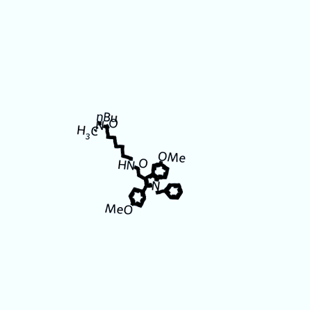 CCCCN(C)C(=O)CCCCCCNC(=O)Cc1c(-c2ccc(OC)cc2)n(Cc2ccccc2)c2ccc(OC)cc12